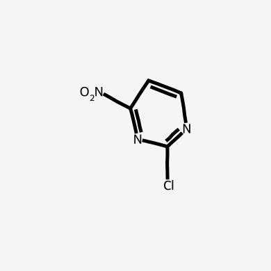 O=[N+]([O-])c1ccnc(Cl)n1